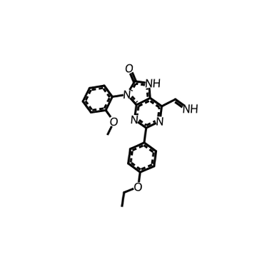 CCOc1ccc(-c2nc(C=N)c3[nH]c(=O)n(-c4ccccc4OC)c3n2)cc1